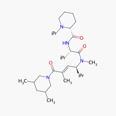 C/C(=C\[C@H](C(C)C)N(C)C(=O)[C@@H](NC(=O)[C@H]1CCCCN1C(C)C)C(C)C)C(=O)N1CC(C)CC(C)C1